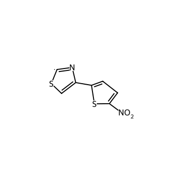 O=[N+]([O-])c1ccc(-c2cs[c]n2)s1